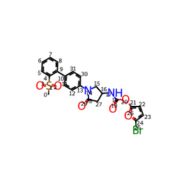 CS(=O)(=O)c1ccccc1-c1ccc(N2CC(NC(=O)Oc3ccc(Br)o3)CC2=O)cc1